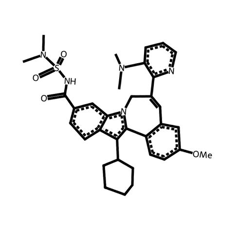 COc1ccc2c(c1)C=C(c1ncccc1N(C)C)Cn1c-2c(C2CCCCC2)c2ccc(C(=O)NS(=O)(=O)N(C)C)cc21